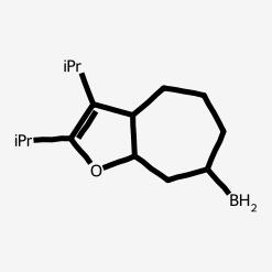 BC1CCCC2C(C(C)C)=C(C(C)C)OC2C1